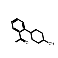 CC(=O)c1ccccc1C1CCC(O)CC1